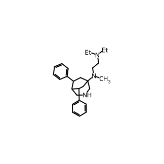 CCN(CC)CCN(C)C12CNCC(C(c3ccccc3)C1)C(c1ccccc1)C2